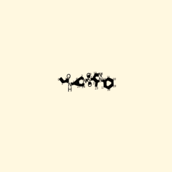 C=CC(=O)NC1C2CN(S(=O)(=O)c3cnn(-c4ccccc4)c3C)CC21